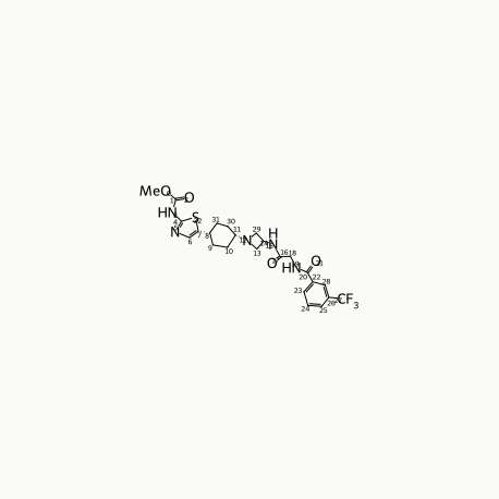 COC(=O)Nc1ncc([C@H]2CC[C@@H](N3CC(NC(=O)CNC(=O)c4cccc(C(F)(F)F)c4)C3)CC2)s1